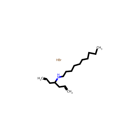 Br.C=CCC(CC=C)NCCCCCCCCCC